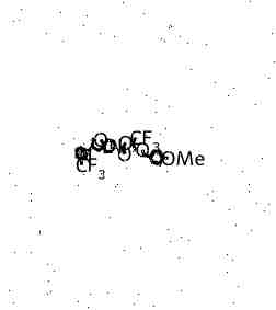 COc1ccc(COCC(OC(=O)N2CCC3(CC2)CC(c2cccc(C(F)(F)F)n2)CO3)C(F)(F)F)cc1